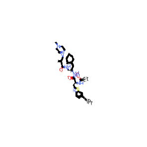 CCC(=O)N[C@@H](Cc1nc2ccc(C(C)C)cc2s1)C(=O)N[C@H](CNC(=O)C(C)CN1CCN(C)CC1)CC1CCCCC1